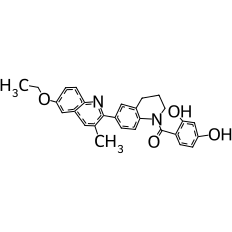 CCOc1ccc2nc(-c3ccc4c(c3)CCCN4C(=O)c3ccc(O)cc3O)c(C)cc2c1